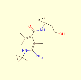 CC(C)=C(C(=O)NC1(CCO)CC1)/C(C)=C(/N)NC1(C)CC1